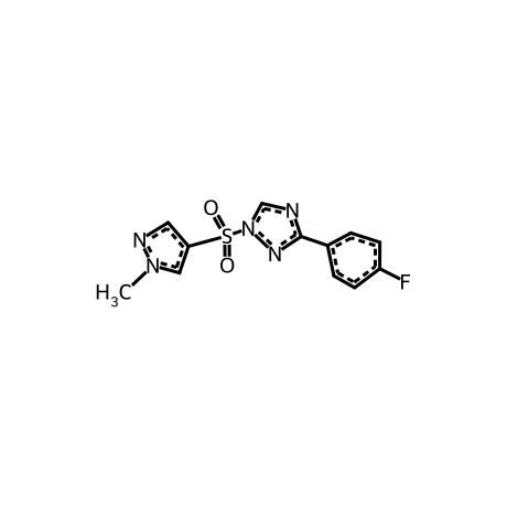 Cn1cc(S(=O)(=O)n2cnc(-c3ccc(F)cc3)n2)cn1